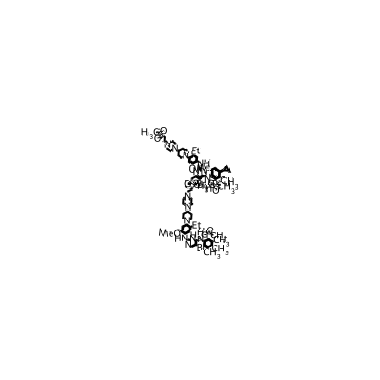 CCc1cc(Nc2nc(CS(=O)(=O)CCN3CCN(C4CCN(c5cc(OC)c(Nc6ncc(Br)c(Nc7cc(C)c(C)c(C)c7P(C)(C)=O)n6)cc5CC)CC4)CC3)c(Br)c(Nc3ccc(C4CC4)c(C)c3P(C)(C)=O)n2)c(OC)cc1N1CCC(N2CCN(CCS(C)(=O)=O)CC2)CC1